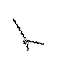 CCCCCCCCCCCCCn1cc[n+](CCCC)c1CCCCCCCCC